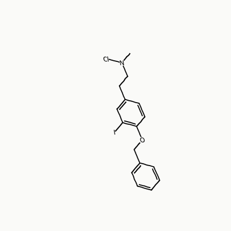 CN(Cl)CCc1ccc(OCc2ccccc2)c(I)c1